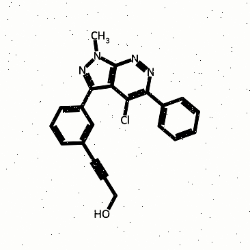 Cn1nc(-c2cccc(C#CCO)c2)c2c(Cl)c(-c3ccccc3)nnc21